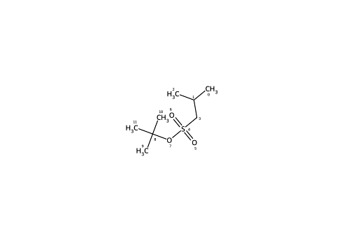 CC(C)CS(=O)(=O)OC(C)(C)C